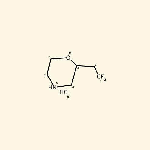 Cl.FC(F)(F)CC1CNCCO1